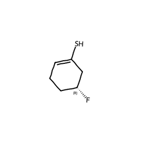 F[C@@H]1CCC=C(S)C1